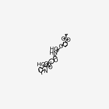 Cc1cccc2c(O)c(S(=O)(=O)N3CCC4(CC3)C[C@@H](NC[C@H](O)COc3cccc(S(=O)(=O)C5CC5)c3)CO4)cnc12